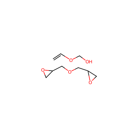 C(OCC1CO1)C1CO1.C=COCO